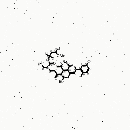 C=C(CC)CC(=C/C(C)c1cc(Cl)ccc1C)/C(C(/C)=N\C)=C(\CC(=C)CCN(CC(C)C)C(=O)OC(C)(C)CC(CC)OC)C(=C)C